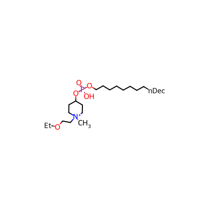 CCCCCCCCCCCCCCCCCCOP(=O)(O)OC1CC[N+](C)(CCOCC)CC1